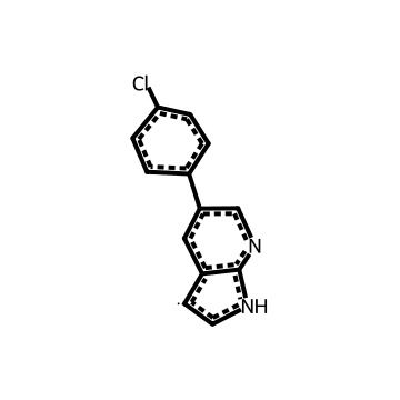 Clc1ccc(-c2cnc3[nH]c[c]c3c2)cc1